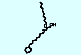 CCCCCCCCCCOC(CO)CSCCCCCCCCC1CCCCC1